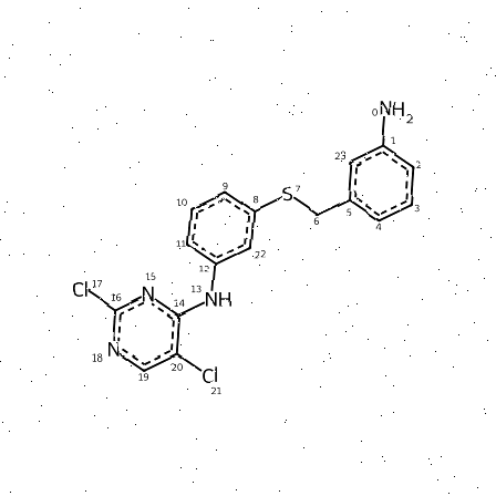 Nc1cccc(CSc2cccc(Nc3nc(Cl)ncc3Cl)c2)c1